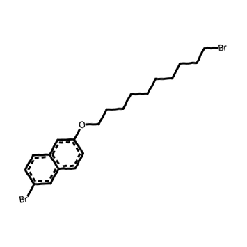 BrCCCCCCCCCCOc1ccc2cc(Br)ccc2c1